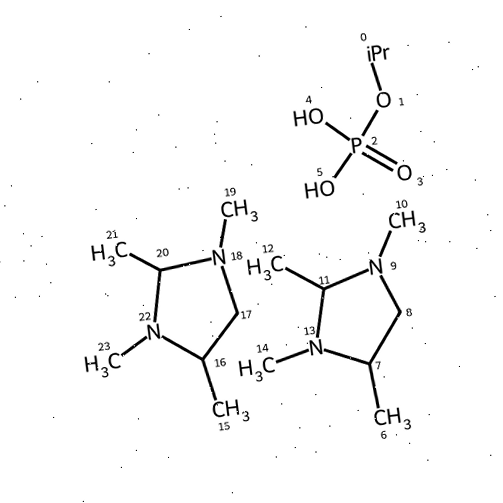 CC(C)OP(=O)(O)O.CC1CN(C)C(C)N1C.CC1CN(C)C(C)N1C